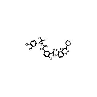 O=C(Nc1ccc(F)c(NC(=O)C2CCOC2)c1F)c1cc(NC(=O)[C@H]2[C@H](c3ccc(Cl)c(Cl)c3)C2(Cl)Cl)ccc1Cl